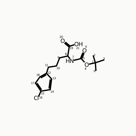 CC(C)(C)OC(=O)NC(CCCc1ccc(Cl)cc1)C(=O)O